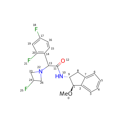 CO[C@@H]1c2ccccc2C[C@H]1NC(=O)C(c1ccc(F)cc1F)N1CC(F)C1